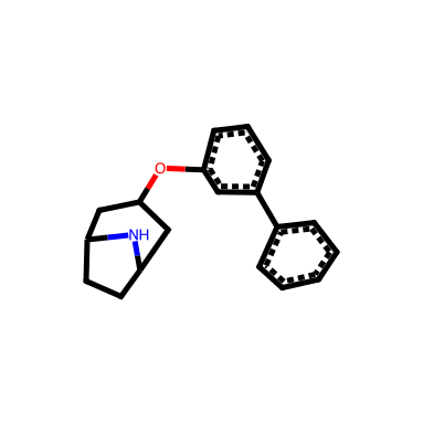 c1ccc(-c2cccc(OC3CC4CCC(C3)N4)c2)cc1